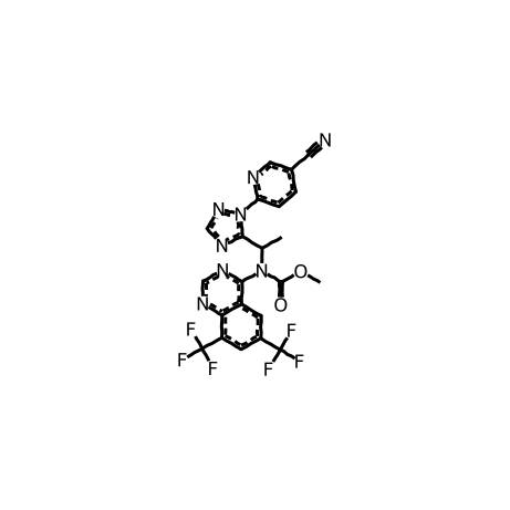 COC(=O)N(c1ncnc2c(C(F)(F)F)cc(C(F)(F)F)cc12)C(C)c1ncnn1-c1ccc(C#N)cn1